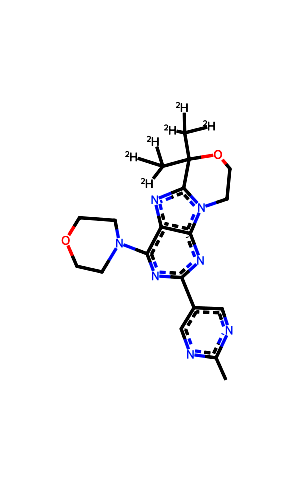 [2H]C([2H])([2H])C1(C([2H])([2H])[2H])OCCn2c1nc1c(N3CCOCC3)nc(-c3cnc(C)nc3)nc12